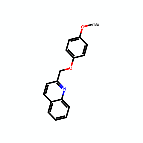 CCCCOc1ccc(OCc2ccc3ccccc3n2)cc1